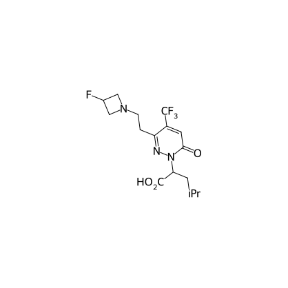 CC(C)CC(C(=O)O)n1nc(CCN2CC(F)C2)c(C(F)(F)F)cc1=O